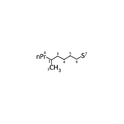 CCCC(C)CCCC[S]